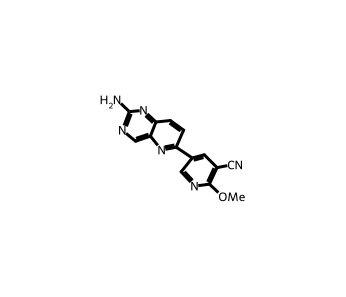 COc1ncc(-c2ccc3nc(N)ncc3n2)cc1C#N